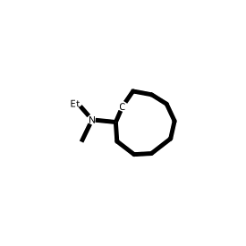 CCN(C)C1CCCCCCCCC1